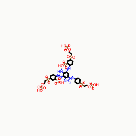 CNc1c(/N=N/c2ccc(S(=O)(=O)CCOS(=O)(=O)O)cc2S(=O)(=O)O)cc(/N=N/c2ccc(S(=O)(=O)CCOS(=O)(=O)O)cc2)c(N)c1/N=N/c1ccc(S(=O)(=O)CCOS(=O)(=O)O)cc1S(=O)(=O)O